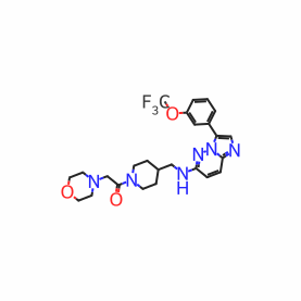 O=C(CN1CCOCC1)N1CCC(CNc2ccc3ncc(-c4cccc(OC(F)(F)F)c4)n3n2)CC1